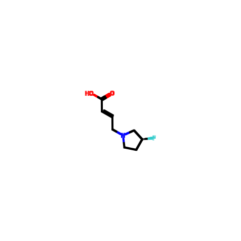 O=C(O)/C=C/CN1CC[C@H](F)C1